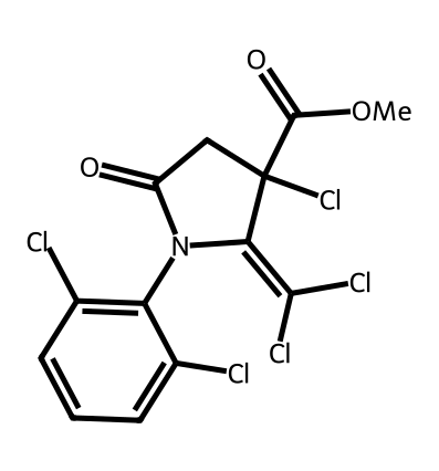 COC(=O)C1(Cl)CC(=O)N(c2c(Cl)cccc2Cl)C1=C(Cl)Cl